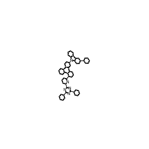 c1ccc(-c2ccc3c(c2)c2ccccc2n3-c2ccc3c4ccccc4c4c(-c5cccc(-c6nc(-c7ccccc7)nc(-c7ccccc7)n6)n5)cccc4c3c2)cc1